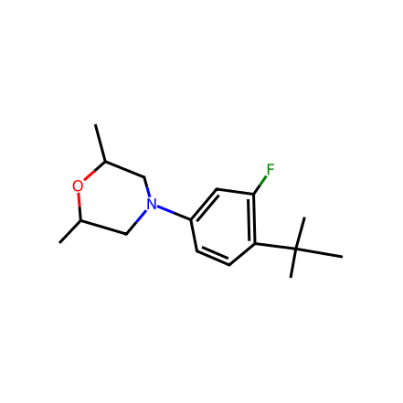 CC1CN(c2ccc(C(C)(C)C)c(F)c2)CC(C)O1